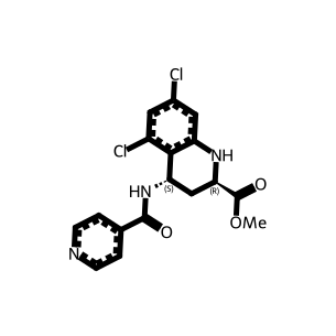 COC(=O)[C@H]1C[C@H](NC(=O)c2ccncc2)c2c(Cl)cc(Cl)cc2N1